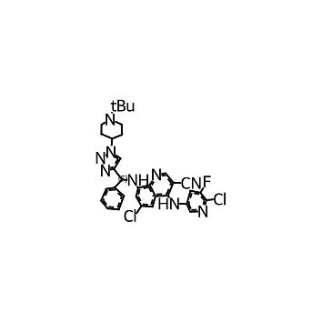 CC(C)(C)N1CCC(n2cc([C@@H](Nc3cc(Cl)cc4c(Nc5cnc(Cl)c(F)c5)c(C#N)cnc34)c3ccccc3)nn2)CC1